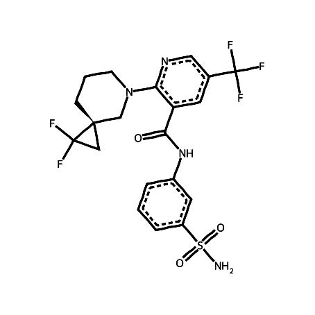 NS(=O)(=O)c1cccc(NC(=O)c2cc(C(F)(F)F)cnc2N2CCC[C@@]3(C2)CC3(F)F)c1